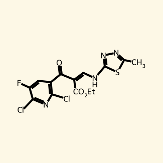 CCOC(=O)/C(=C\Nc1nnc(C)s1)C(=O)c1cc(F)c(Cl)nc1Cl